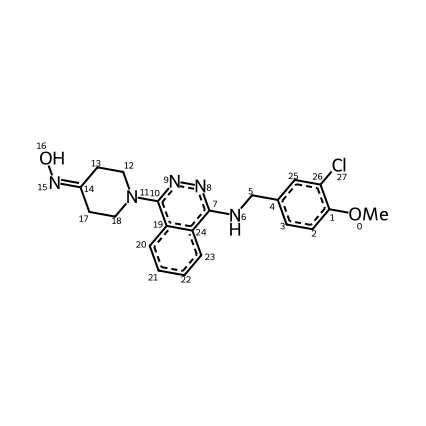 COc1ccc(CNc2nnc(N3CCC(=NO)CC3)c3ccccc23)cc1Cl